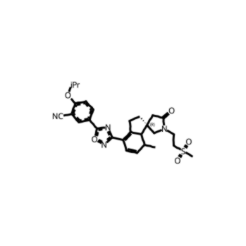 CC(C)Oc1ccc(-c2nc(C3=C4CC[C@@]5(CC(=O)N(CCS(C)(=O)=O)C5)C4C(C)C=C3)no2)cc1C#N